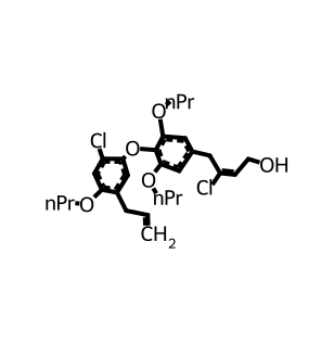 C=CCc1cc(Oc2c(OCCC)cc(C/C(Cl)=C\CO)cc2OCCC)c(Cl)cc1OCCC